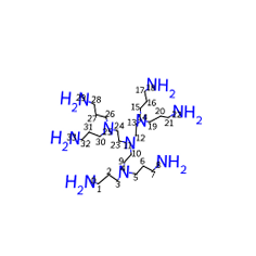 NCCCN(CCCN)CCN(CCN(CCCN)CCCN)CCN(CCCN)CCCN